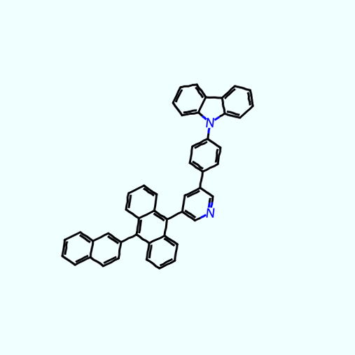 c1ccc2cc(-c3c4ccccc4c(-c4cncc(-c5ccc(-n6c7ccccc7c7ccccc76)cc5)c4)c4ccccc34)ccc2c1